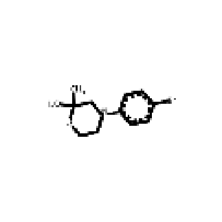 CC1(C)C[C@@H](c2ccc(Br)cc2)CCO1